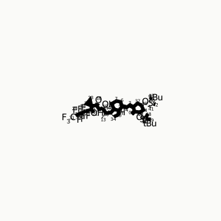 C=C1C(=CC=C2CCC[C@]3(C)[C@@H]([C@H](C)C(O)CC(=O)C4(C(O)C(F)(F)C(F)(F)C(F)(F)C(F)(F)F)CC4)CC[C@@H]23)CC(O[Si](C)(C)C(C)(C)C)CC1O[Si](C)(C)C(C)(C)C